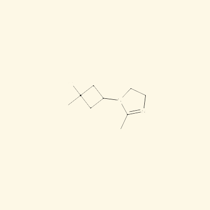 CC1=NCCN1C1CC(C)(O)C1